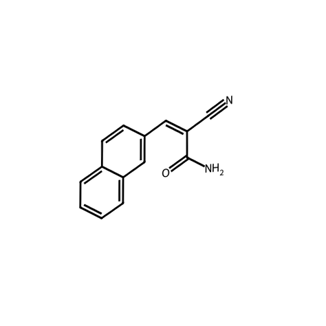 N#CC(=Cc1ccc2ccccc2c1)C(N)=O